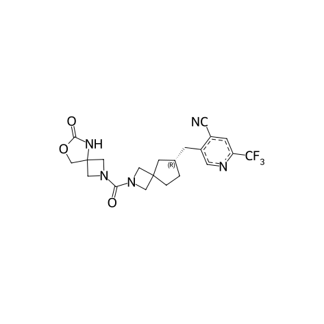 N#Cc1cc(C(F)(F)F)ncc1C[C@@H]1CCC2(C1)CN(C(=O)N1CC3(COC(=O)N3)C1)C2